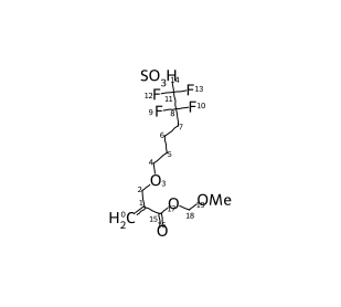 C=C(COCCCCC(F)(F)C(F)(F)S(=O)(=O)O)C(=O)OCOC